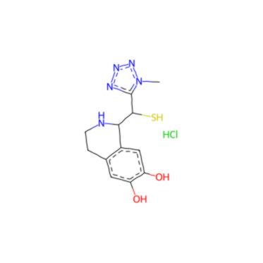 Cl.Cn1nnnc1C(S)C1NCCc2cc(O)c(O)cc21